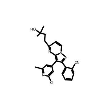 Cc1cc(-c2c(-c3ccccc3C#N)nn3ccc(CCC(C)(C)O)nc23)cc(Cl)n1